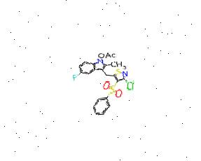 CC(=O)On1c(C)c(Cc2snc(Cl)c2S(=O)(=O)c2ccccc2)c2cc(F)ccc21